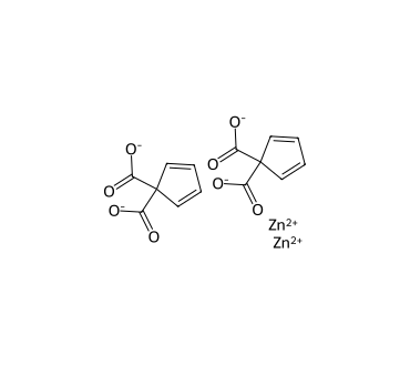 O=C([O-])C1(C(=O)[O-])C=CC=C1.O=C([O-])C1(C(=O)[O-])C=CC=C1.[Zn+2].[Zn+2]